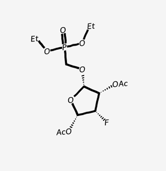 CCOP(=O)(CO[C@H]1O[C@@H](OC(C)=O)[C@@H](F)[C@H]1OC(C)=O)OCC